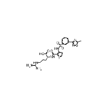 Cc1nc(-c2cccc(S(=O)(=O)Nc3ccsc3C(=O)N[C@@H](CCCNC(N)N)C(=O)O)c2)no1